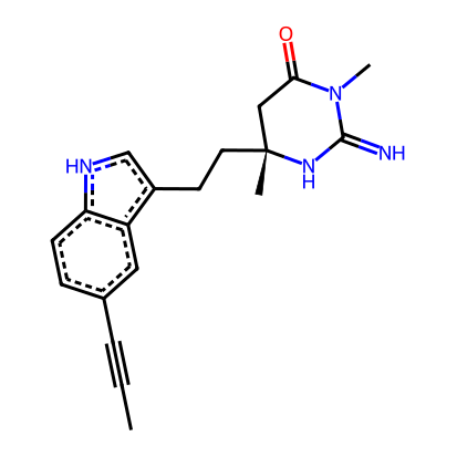 CC#Cc1ccc2[nH]cc(CC[C@]3(C)CC(=O)N(C)C(=N)N3)c2c1